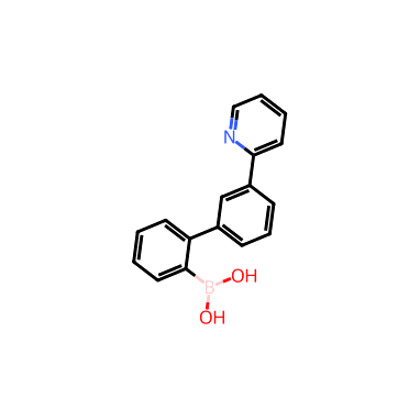 OB(O)c1ccccc1-c1cccc(-c2ccccn2)c1